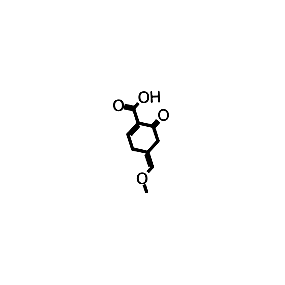 COC=C1CC=C(C(=O)O)C(=O)C1